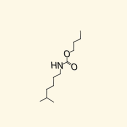 CCCCOC(=O)NCCCCC(C)C